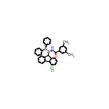 Cc1cc(C)cc(C(=O)[NH][Zr+2]([CH]2c3ccccc3-c3ccccc32)[SiH](c2ccccc2)c2ccccc2)c1.[Cl-].[Cl-]